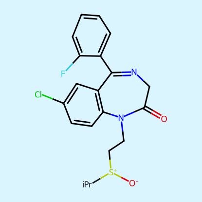 CC(C)[S+]([O-])CCN1C(=O)CN=C(c2ccccc2F)c2cc(Cl)ccc21